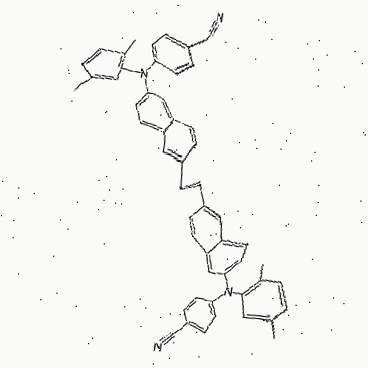 Cc1ccc(C)c(N(c2ccc(C#N)cc2)c2ccc3cc(/C=C/c4ccc5cc(N(c6ccc(C#N)cc6)c6cc(C)ccc6C)ccc5c4)ccc3c2)c1